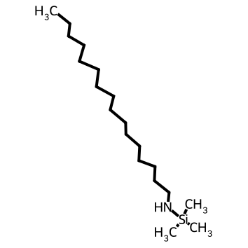 CCCCCCCCCCCCCCCCN[Si](C)(C)C